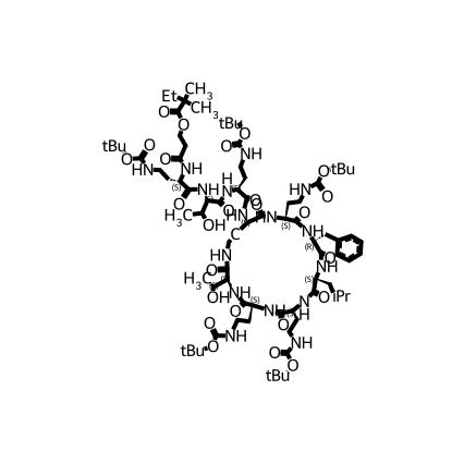 CCC(C)(C)C(=O)OCCC(=O)N[C@@H](CCNC(=O)OC(C)(C)C)C(=O)N[C@H](C(=O)N[C@@H](CCNC(=O)OC(C)(C)C)C(=O)N[C@H]1CCNC(=O)[C@H]([C@H](C)O)NC(=O)[C@H](CCNC(=O)OC(C)(C)C)NC(=O)[C@H](CCNC(=O)OC(C)(C)C)NC(=O)[C@H](CC(C)C)NC(=O)[C@@H](Cc2ccccc2)NC(=O)[C@H](CCNC(=O)OC(C)(C)C)NC1=O)C(C)O